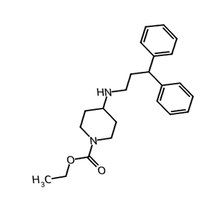 CCOC(=O)N1CCC(NCCC(c2ccccc2)c2ccccc2)CC1